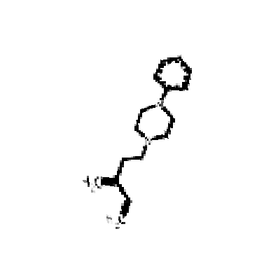 C=CC(=C)CCN1CCN(c2ccccc2)CC1